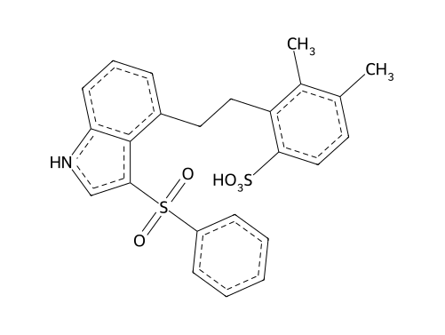 Cc1ccc(S(=O)(=O)O)c(CCc2cccc3[nH]cc(S(=O)(=O)c4ccccc4)c23)c1C